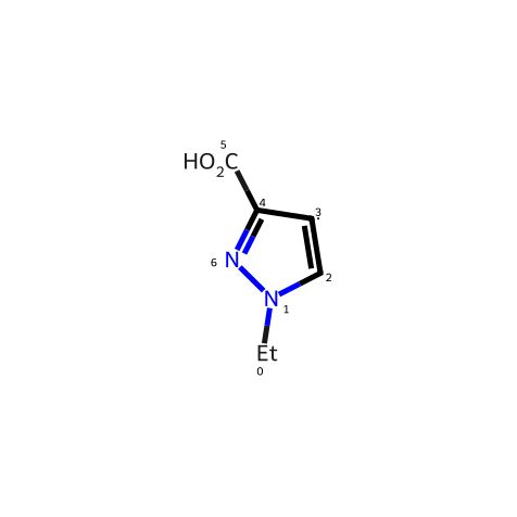 CCn1c[c]c(C(=O)O)n1